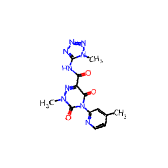 Cc1ccnc(-n2c(=O)c(C(=O)Nc3nnnn3C)nn(C)c2=O)c1